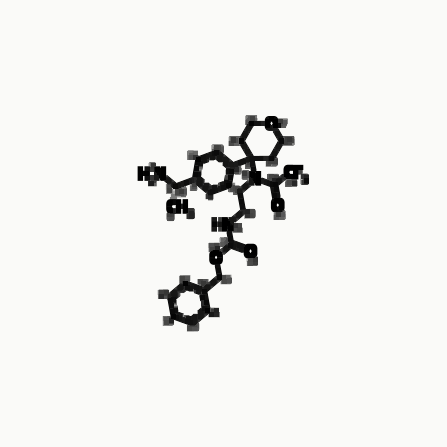 C[C@H](N)c1ccc(C2(N(CCNC(=O)OCc3ccccc3)C(=O)C(F)(F)F)CCOCC2)cc1